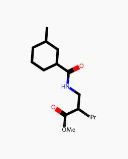 COC(=O)C(CNC(=O)C1CCCC(C)C1)C(C)C